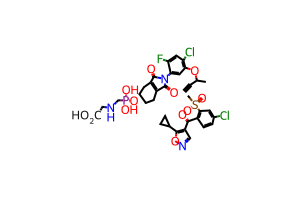 C#CC(C)Oc1cc(N2C(=O)C3=C(CCCC3)C2=O)c(F)cc1Cl.CS(=O)(=O)c1cc(Cl)ccc1C(=O)c1cnoc1C1CC1.O=C(O)CNCP(=O)(O)O